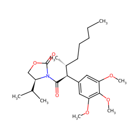 CCCCC[C@@H](C)[C@H](C(=O)N1C(=O)OC[C@@H]1C(C)C)c1cc(OC)c(OC)c(OC)c1